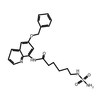 NS(=O)(=O)NCCCCCC(=O)Nc1cc(OCc2ccccc2)cc2cccnc12